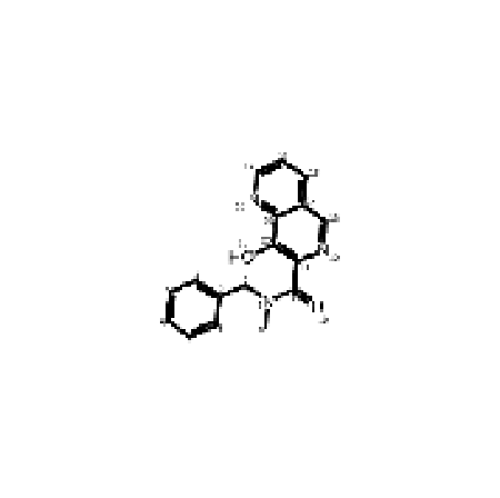 CN(Cc1ccccc1)C(=O)c1ncc2cccnc2c1O